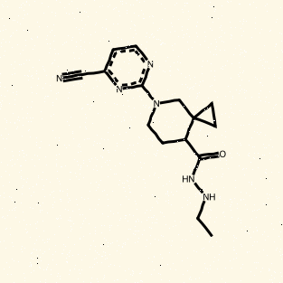 CCNNC(=O)C1CCN(c2nccc(C#N)n2)CC12CC2